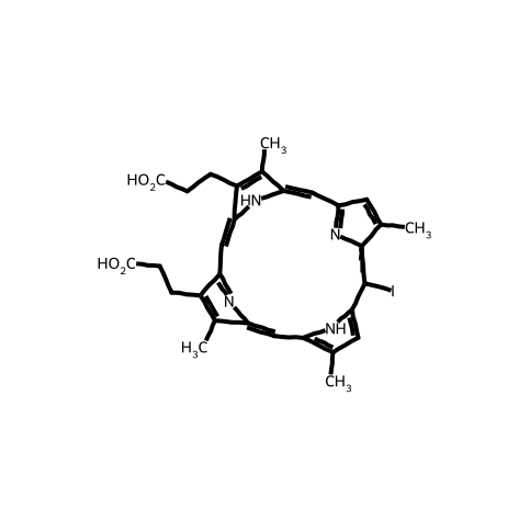 CC1=CC2=NC1(I)C(I)c1cc(C)c([nH]1)C=C1N=C(C=c3[nH]c(c(C)c3CCC(=O)O)=C2)C(CCC(=O)O)=C1C